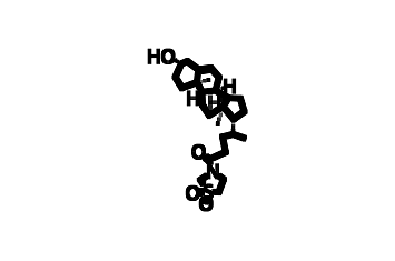 CC(CCC(=O)N1CCS(=O)(=O)C1)[C@H]1CC[C@H]2[C@@H]3CC=C4C[C@@H](O)CC[C@]4(C)[C@H]3CC[C@]12C